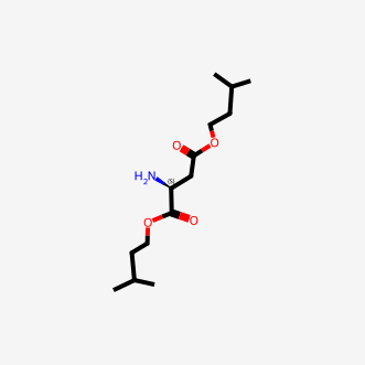 CC(C)CCOC(=O)C[C@H](N)C(=O)OCCC(C)C